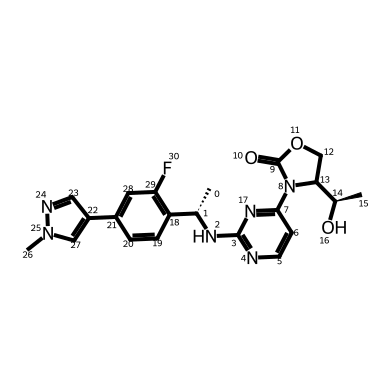 C[C@H](Nc1nccc(N2C(=O)OCC2[C@@H](C)O)n1)c1ccc(-c2cnn(C)c2)cc1F